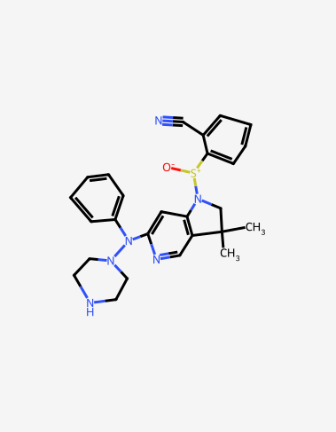 CC1(C)CN([S+]([O-])c2ccccc2C#N)c2cc(N(c3ccccc3)N3CCNCC3)ncc21